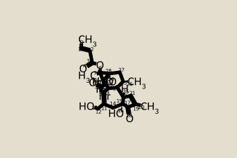 C/C=C/C(=O)OC1(C)[C@@H]2[C@@H]3C=C(CO)C[C@]4(O)C(=O)C(C)=C[C@H]4[C@@]3(O)[C@H](C)C[C@]21OC(=O)C(C)C